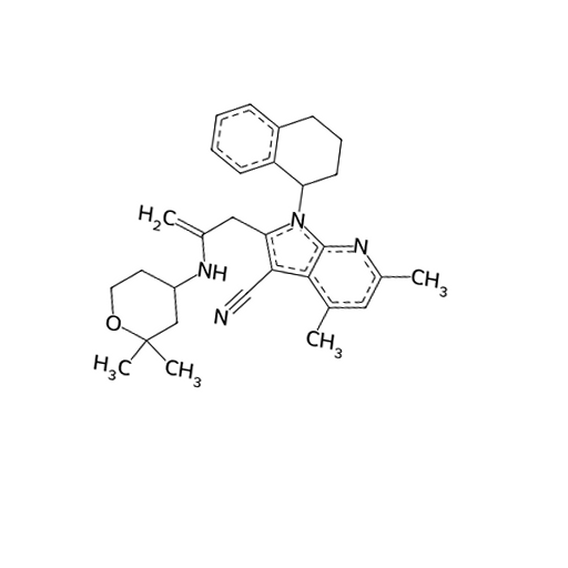 C=C(Cc1c(C#N)c2c(C)cc(C)nc2n1C1CCCc2ccccc21)NC1CCOC(C)(C)C1